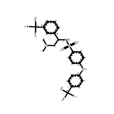 CN(C)CC(NS(=O)(=O)c1ccc(Oc2ccc(C(F)(F)F)cc2)cc1)c1cccc(C(F)(F)F)c1